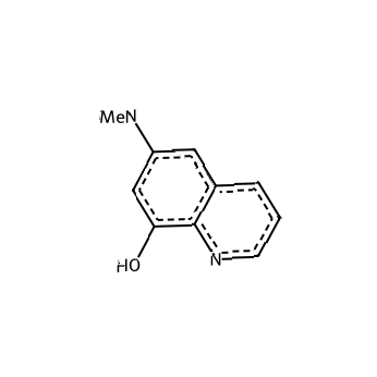 CNc1cc(O)c2ncccc2c1